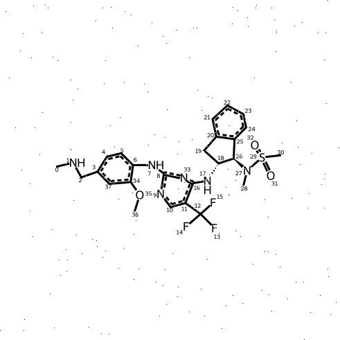 CNCc1ccc(Nc2ncc(C(F)(F)F)c(N[C@@H]3Cc4ccccc4[C@H]3N(C)S(C)(=O)=O)n2)c(OC)c1